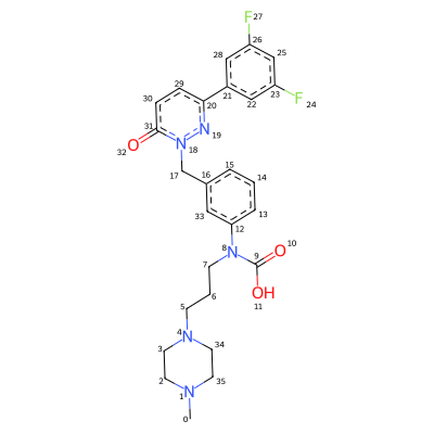 CN1CCN(CCCN(C(=O)O)c2cccc(Cn3nc(-c4cc(F)cc(F)c4)ccc3=O)c2)CC1